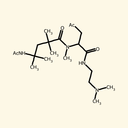 CC(=O)CC(C(=O)NCCN(C)C)N(C)C(=O)C(C)(C)CC(C)(C)NC(C)=O